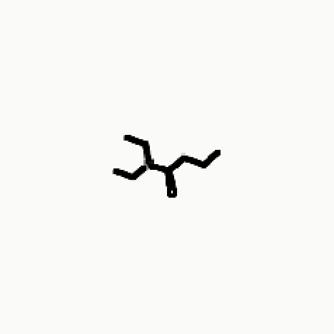 CC[CH]C(=O)N(CC)CC